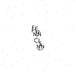 FC(F)(F)c1nc(-c2cc[c]c(Sc3ncccn3)c2)no1